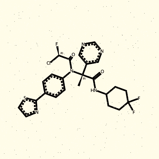 C[C@](C(=O)NC1CCC(F)(F)CC1)(c1cncnc1)N(C(=O)[C@H](F)Cl)c1ccc(-c2nccs2)cc1